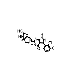 CC1(NC(=O)O)CCN(c2nc3[nH]nc(-c4cccc(Cl)c4Cl)c3c(=O)[nH]2)CC1